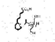 C=C(C)C(=O)O.O=C(O)C=CC=Cc1ccccc1.OCCNCCO